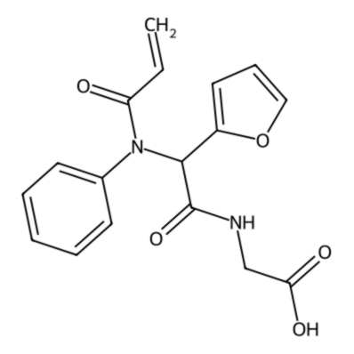 C=CC(=O)N(c1ccccc1)C(C(=O)NCC(=O)O)c1ccco1